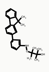 CC1(C)c2ccccc2-c2ccc(-c3cccc(NOC(C)(C)C(C)(C)O)c3)cc21